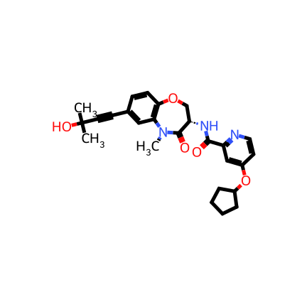 CN1C(=O)[C@@H](NC(=O)c2cc(OC3CCCC3)ccn2)COc2ccc(C#CC(C)(C)O)cc21